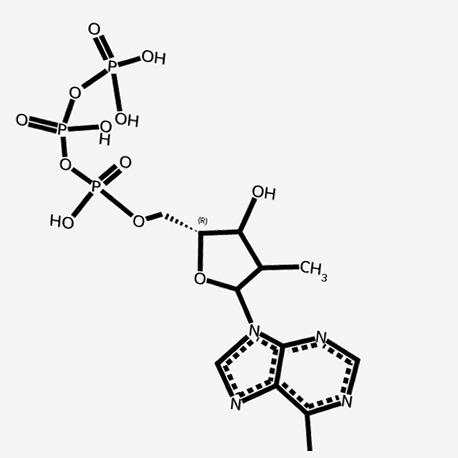 CC1C(O)[C@@H](COP(=O)(O)OP(=O)(O)OP(=O)(O)O)OC1n1cnc2c(N)ncnc21